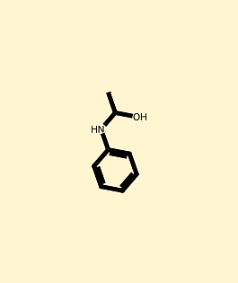 [CH2]C(O)Nc1ccccc1